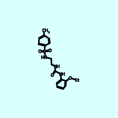 CCOc1ccccc1NC(=O)NCCNS(=O)(=O)c1ccc(C)cc1